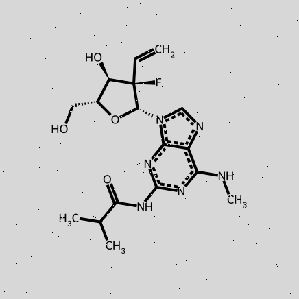 C=C[C@@]1(F)[C@H](O)[C@@H](CO)O[C@H]1n1cnc2c(NC)nc(NC(=O)C(C)C)nc21